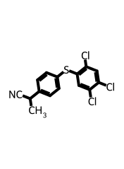 CC(C#N)c1ccc(Sc2cc(Cl)c(Cl)cc2Cl)cc1